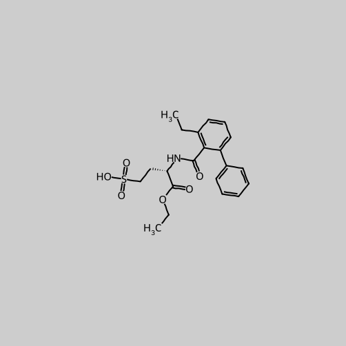 CCOC(=O)[C@H](CCS(=O)(=O)O)NC(=O)c1c(CC)cccc1-c1ccccc1